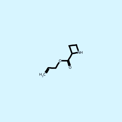 C=CCOC(=O)C1CCN1